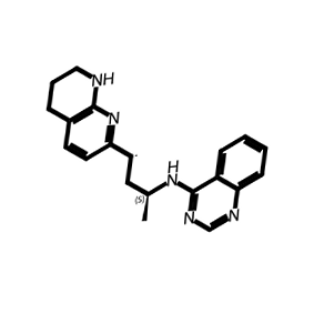 C[C@@H](C[CH]c1ccc2c(n1)NCCC2)Nc1ncnc2ccccc12